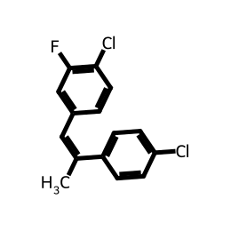 C/C(=C/c1ccc(Cl)c(F)c1)c1ccc(Cl)cc1